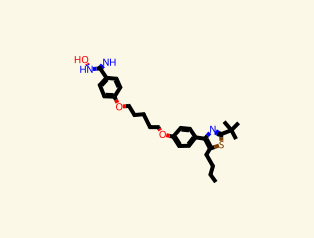 CCCCc1sc(C(C)(C)C)nc1-c1ccc(OCCCCCOc2ccc(C(=N)NO)cc2)cc1